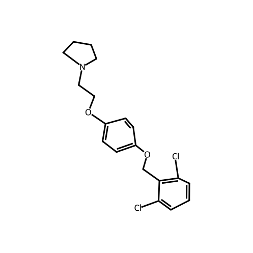 Clc1cccc(Cl)c1COc1ccc(OCCN2CCCC2)cc1